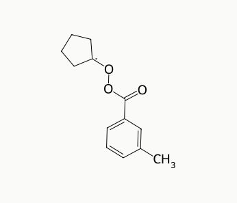 Cc1cccc(C(=O)OO[C]2CCCC2)c1